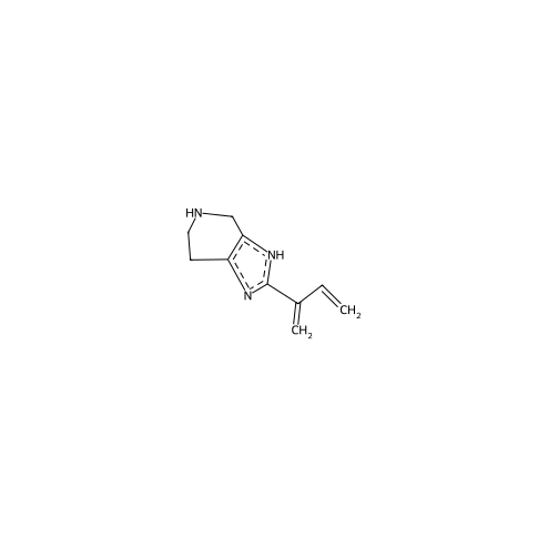 C=CC(=C)c1nc2c([nH]1)CNCC2